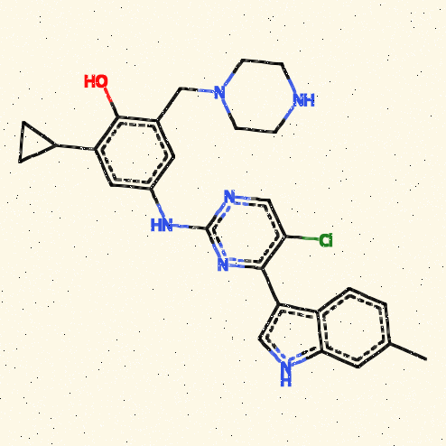 Cc1ccc2c(-c3nc(Nc4cc(CN5CCNCC5)c(O)c(C5CC5)c4)ncc3Cl)c[nH]c2c1